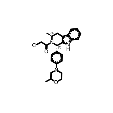 CC1CN(c2ccc([C@H]3c4[nH]c5ccccc5c4C[C@H](C)N3C(=O)CCl)cc2)CCO1